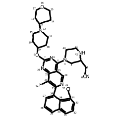 N#CCC1CN(c2nc(OC3CCN(C4CCOCC4)CC3)nc3c(F)c(-c4cccc5cccc(Cl)c45)ncc23)CCN1